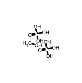 CO.O=P(O)(O)O.O=P(O)(O)O